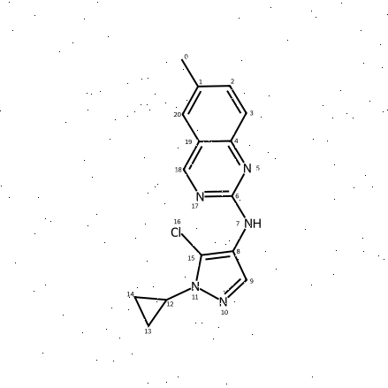 Cc1ccc2nc(Nc3cnn(C4CC4)c3Cl)ncc2c1